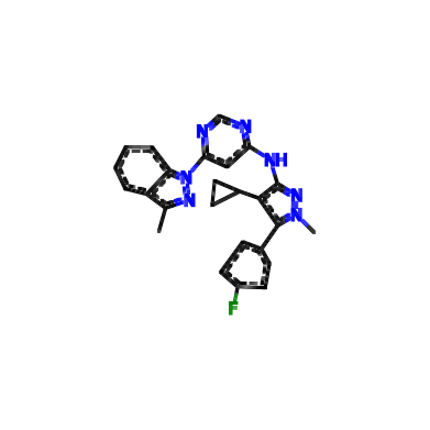 Cc1nn(-c2cc(Nc3nn(C)c(-c4ccc(F)cc4)c3C3CC3)ncn2)c2ccccc12